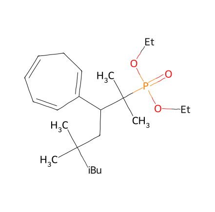 CCOP(=O)(OCC)C(C)(C)C(CC(C)(C)C(C)CC)C1=CCC=CC=C1